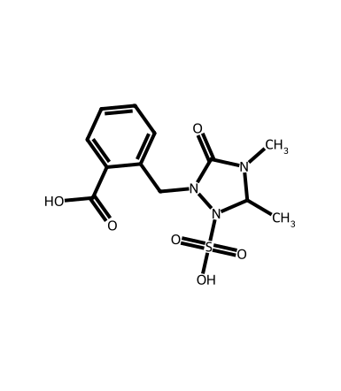 CC1N(C)C(=O)N(Cc2ccccc2C(=O)O)N1S(=O)(=O)O